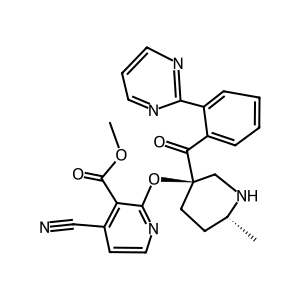 COC(=O)c1c(C#N)ccnc1O[C@]1(C(=O)c2ccccc2-c2ncccn2)CC[C@@H](C)NC1